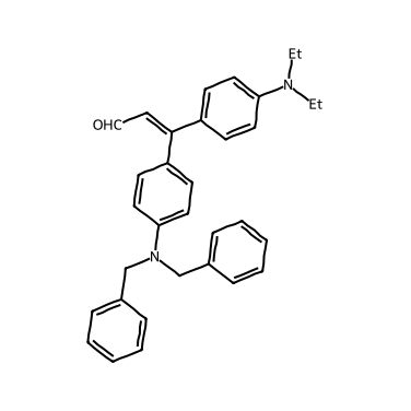 CCN(CC)c1ccc(C(=CC=O)c2ccc(N(Cc3ccccc3)Cc3ccccc3)cc2)cc1